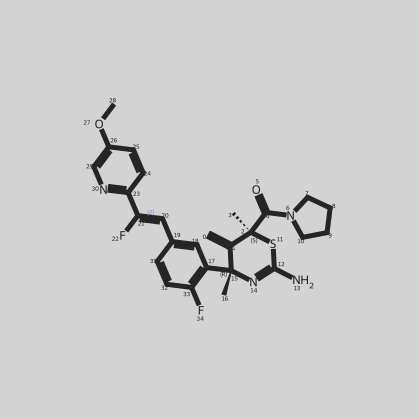 C=C1[C@@](C)(C(=O)N2CCCC2)SC(N)=N[C@]1(C)c1cc(/C=C(\F)c2ccc(OC)cn2)ccc1F